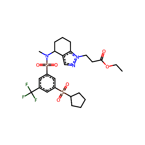 CCOC(=O)CCn1ncc2c1CCCC2N(C)S(=O)(=O)c1cc(C(F)(F)F)cc(S(=O)(=O)C2CCCC2)c1